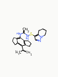 C=C(NSc1cnn2c1CCCC2)Nc1c2c(c(C(=C)C)c3c1CCC3)CCC2